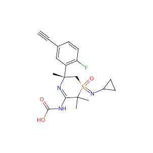 C#Cc1ccc(F)c([C@]2(C)C[S@@](=O)(=NC3CC3)C(C)(C)C(NC(=O)O)=N2)c1